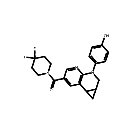 N#Cc1ccc(N2CC3CC3c3cc(C(=O)N4CCC(F)(F)CC4)cnc32)cc1